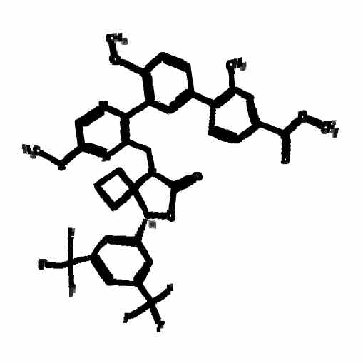 COC(=O)c1ccc(-c2ccc(OC)c(-c3ncc(SC)nc3CN3C(=O)O[C@H](c4cc(C(F)(F)F)cc(C(F)(F)F)c4)C34CCC4)c2)c(C)c1